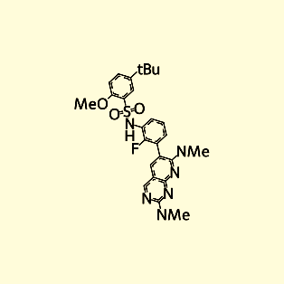 CNc1ncc2cc(-c3cccc(NS(=O)(=O)c4cc(C(C)(C)C)ccc4OC)c3F)c(NC)nc2n1